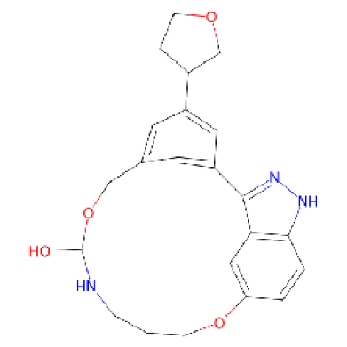 OC1NCCCOc2ccc3[nH]nc(c3c2)-c2cc(cc(C3CCOC3)c2)CO1